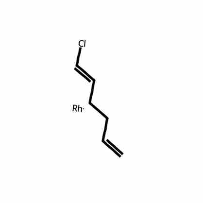 C=CCCC=CCl.[Rh]